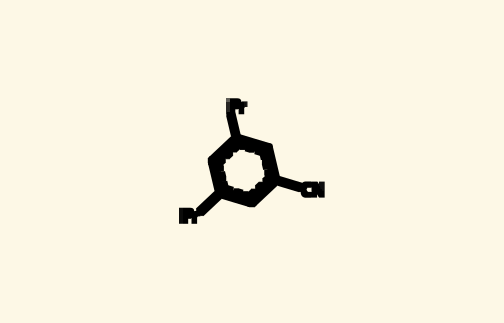 CC(C)c1cc(C#N)cc(C(C)C)c1